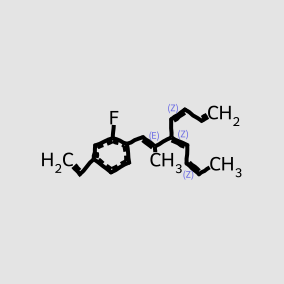 C=C\C=C/C(=C/C=C\C)C(/C)=C/c1ccc(C=C)cc1F